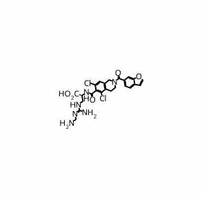 NC/N=C(\N)NC[C@H](NC(=O)c1c(Cl)cc2c(c1Cl)CCN(C(=O)c1ccc3ccoc3c1)C2)C(=O)O